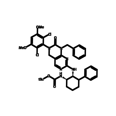 COc1cc(OC)c(Cl)c(N2Cc3cnc(N[C@@H]4C(c5ccccc5)CCC[C@@H]4NC(=O)OC(C)(C)C)nc3N(Cc3ccccc3)C2=O)c1Cl